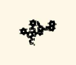 CCNC(=O)C1OC(n2cnc3c(NCc4cccc5ccccc45)nc(C#N)nc32)C(OC(=O)c2ccccc2)C1OC(=O)c1ccccc1